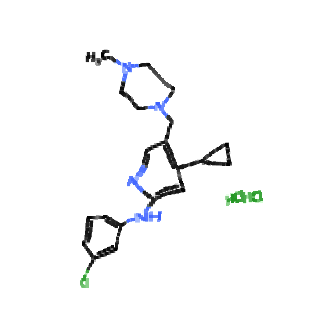 CN1CCN(Cc2cnc(Nc3cccc(Cl)c3)cc2C2CC2)CC1.Cl.Cl